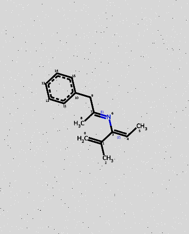 C=C(C)C(=C/C)/N=C(\C)Cc1ccccc1